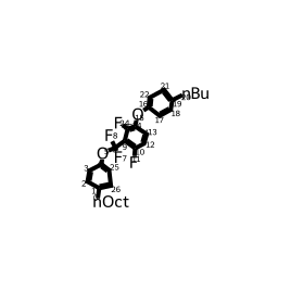 CCCCCCCCc1ccc(OC(F)(F)c2c(F)c[c]c(Oc3ccc(CCCC)cc3)c2F)cc1